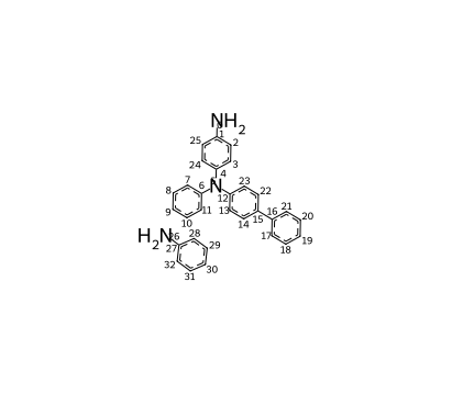 Nc1ccc(N(c2ccccc2)c2ccc(-c3ccccc3)cc2)cc1.Nc1ccccc1